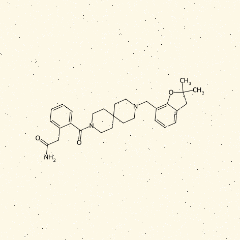 CC1(C)Cc2cccc(CN3CCC4(CC3)CCN(C(=O)c3ccccc3CC(N)=O)CC4)c2O1